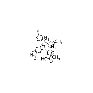 COCC(C)(C)c1c(C2CO[C@](C)(C(=O)O)C2)c2cc3[nH]ncc3cc2n1-c1ccc(F)cc1